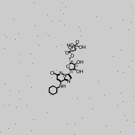 O=P(O)(O)CP(=O)(O)OC[C@H]1O[C@@H](c2cnc3c(NC4CCCCC4)cc(Cl)nn23)[C@H](O)[C@@H]1O